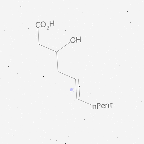 CCCCC/C=C/CC(O)CC(=O)O